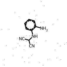 N#CC(C#N)Nc1ccccc1N